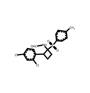 Cc1ccc(S(=O)(=O)C2(NC=O)CCC2c2ccc(Cl)cc2Cl)cc1